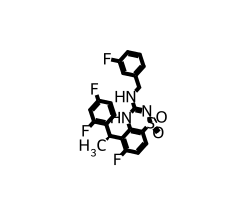 C[C@@H](c1ccc(F)cc1F)c1c(F)ccc2c1NC(NCc1cccc(F)c1)=NS2(=O)=O